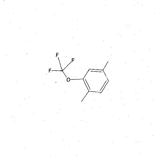 Cc1ccc(C)c(OC(F)(F)F)c1